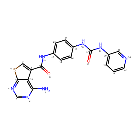 Nc1ncnc2scc(C(=O)Nc3ccc(NC(=O)Nc4cccnc4)cc3)c12